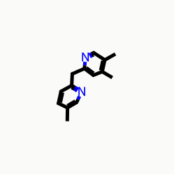 Cc1ccc(Cc2cc(C)c(C)cn2)nc1